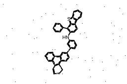 C1=Cc2c(c3ccc(-c4cccc(Nc5ccc6c(sc7ccccc76)c5-c5ccccc5)c4)cc3c3ccccc23)CC1